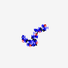 CCC(C(=O)Nc1nccc2c(-c3nc(Nc4cn(C)nc4OCCC[C@@H](C(=O)Nc4nccc5c(-c6nc(Nc7cn(C)nc7OC)ncc6C)c[nH]c45)N4CCN(C)CC4)ncc3C)c[nH]c12)N1CCN(CCOc2nn(C)cc2Nc2nccc(-c3c[nH]c4c(NC(=O)[C@@H](C)N5CCN(C)CC5)nccc34)n2)CC1